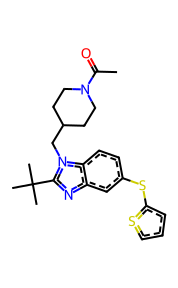 CC(=O)N1CCC(Cn2c(C(C)(C)C)nc3cc(Sc4cccs4)ccc32)CC1